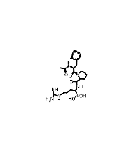 CC(=O)NC(Cc1ccccc1)C(=O)N1CCCC1C(=O)NC(CCCNC(=N)N)B(O)O